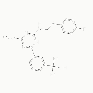 CCC(O)(CC)c1cccc(-c2nc(NCCc3ccc(F)cc3)nc(OC)n2)c1